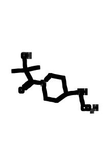 CC(C)(O)C(=O)N1CCC(NC(=O)O)CC1